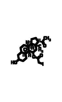 CC(=O)[C@H]1CC[C@H]2[C@@H]3CCC4CC(O)CC[C@]4(C)[C@H]3C(OC(=O)CI)C[C@]12C